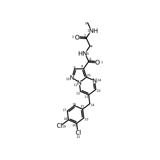 CNC(=O)CNC(=O)c1cnn2cc(Cc3ccc(Cl)c(Cl)c3)cnc12